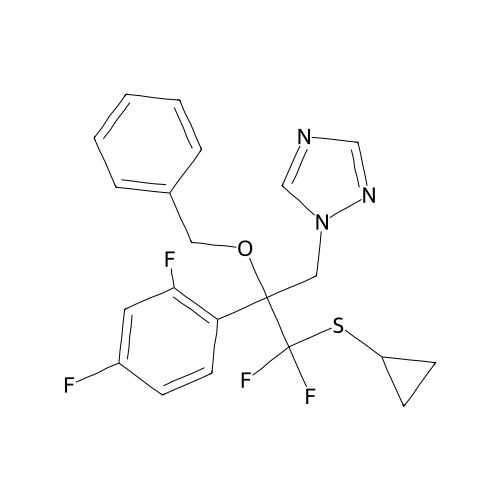 Fc1ccc(C(Cn2cncn2)(OCc2ccccc2)C(F)(F)SC2CC2)c(F)c1